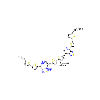 CCCCCCc1ccc(-c2ccc(-c3ncc(-c4cc5c(s4)-c4sc(-c6cnc(-c7ccc(-c8ccc(CCCCCC)s8)s7)c7nsnc67)cc4C5(CCCCCC)CCCCCC)c4nsnc34)s2)s1